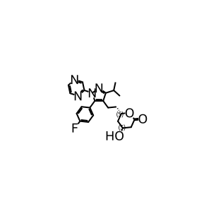 CC(C)c1nn(-c2cnccn2)c(-c2ccc(F)cc2)c1CC[C@H]1C[C@H](O)CC(=O)O1